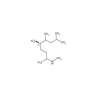 CNC(C)CC[C@@H](C)C(C)CC(C)C